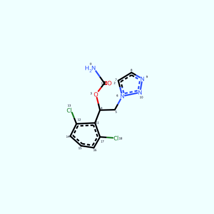 NC(=O)OC(Cn1ccnn1)c1c(Cl)cccc1Cl